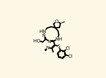 C=N\C(C)=C(Sc1cccc(Cl)c1Cl)/C1=N/C(CO)=N\NCCC2(CCN1)CO[C@@H](C)C2